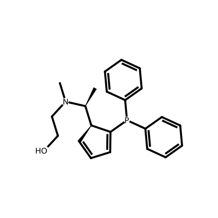 C[C@@H]([C@@H]1C=CC=C1P(c1ccccc1)c1ccccc1)N(C)CCO